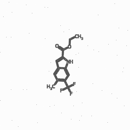 CCOC(=O)c1cc2cc(C)c(C(F)(F)F)cc2[nH]1